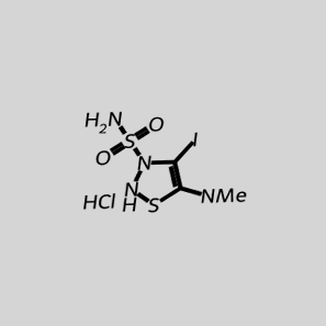 CNC1=C(I)N(S(N)(=O)=O)NS1.Cl